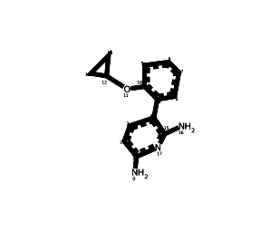 Nc1ccc(-c2ccccc2OC2CC2)c(N)n1